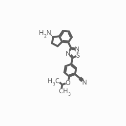 CC(C)Oc1ccc(-c2nc(-c3cccc4c3CC[C@@H]4N)ns2)cc1C#N